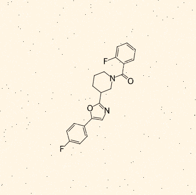 O=C(c1ccccc1F)N1CCCC(c2ncc(-c3ccc(F)cc3)o2)C1